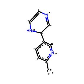 FC(F)(F)c1ccc(C2C=NC=CN2)cn1